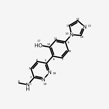 CNc1ccc(-c2ccc(-n3ccnc3)cc2O)nn1